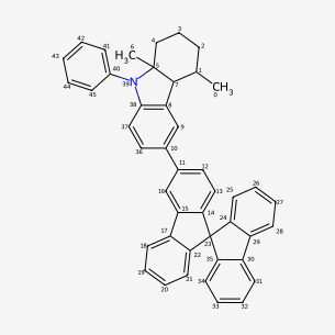 CC1CCCC2(C)C1c1cc(-c3ccc4c(c3)-c3ccccc3C43c4ccccc4-c4ccccc43)ccc1N2c1ccccc1